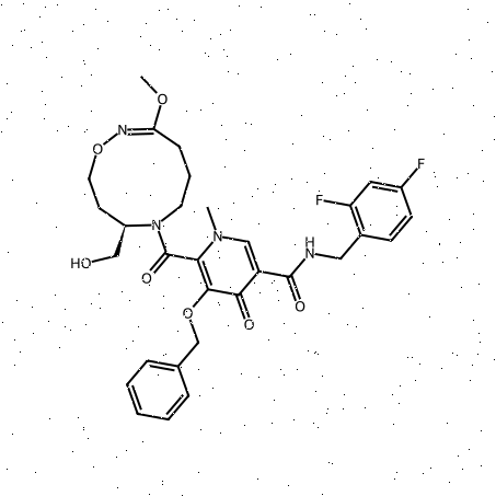 CO/C1=N/OCC[C@H](CO)N(C(=O)c2c(OCc3ccccc3)c(=O)c(C(=O)NCc3ccc(F)cc3F)cn2C)CCC1